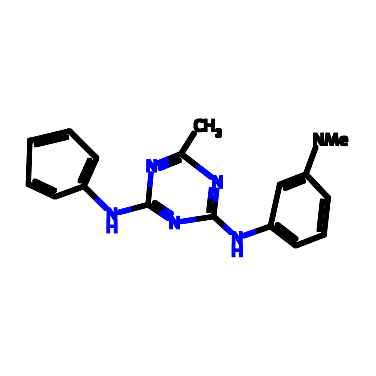 CNc1cccc(Nc2nc(C)nc(Nc3ccccc3)n2)c1